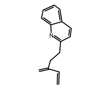 C=CC(=C)CCc1ccc2ccccc2n1